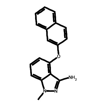 Cn1nc(N)c2c(Oc3ccc4ccccc4c3)cccc21